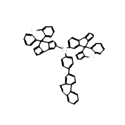 c1ccc2c(c1)Oc1ccccc1C21c2ccccc2-c2cc(N(c3ccc(-c4ccc5c(ccc6ccccc65)c4)cc3)c3ccc4c(c3)C3(c5ccccc5Oc5ccccc53)c3ccccc3-4)ccc21